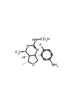 C[C@H]1OC[C@]2(c3cc(N)ccc3F)N=C(NC(=O)O)O[C@H](C(F)(F)F)[C@H]12